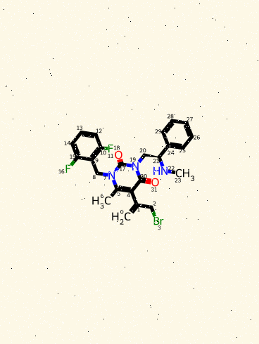 C=C(CBr)c1c(C)n(Cc2c(F)cccc2F)c(=O)n(C[C@H](NC)c2ccccc2)c1=O